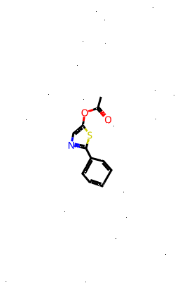 CC(=O)Oc1cnc(-c2ccccc2)s1